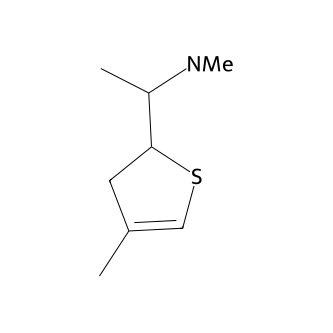 CNC(C)C1CC(C)=CS1